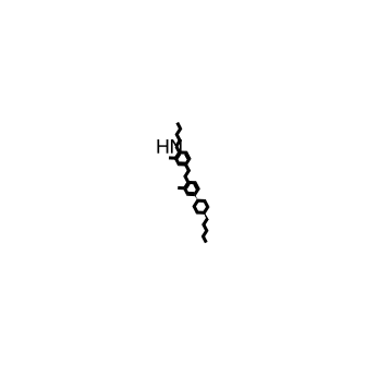 CCCCC[C@H]1CC[C@H](c2ccc(CCc3ccc(NCCCC)c(C)c3)c(C)c2)CC1